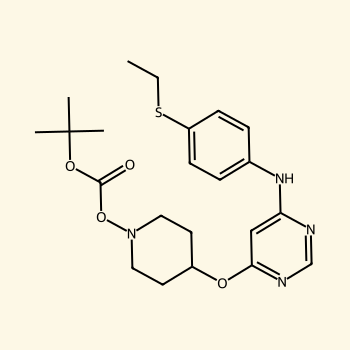 CCSc1ccc(Nc2cc(OC3CCN(OC(=O)OC(C)(C)C)CC3)ncn2)cc1